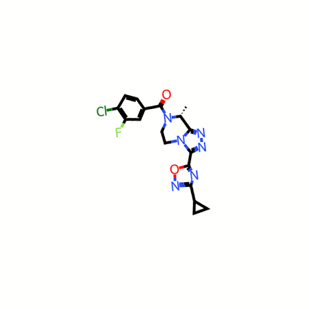 C[C@@H]1c2nnc(-c3nc(C4CC4)no3)n2CCN1C(=O)c1ccc(Cl)c(F)c1